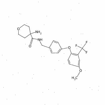 COc1ccc(Oc2ccc(CNC(=O)C3(N)CCOCC3)cc2)c(C(F)(F)F)c1